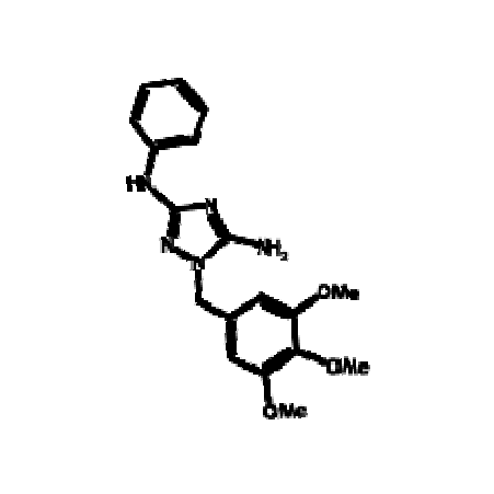 COc1cc(Cn2nc(Nc3ccccc3)nc2N)cc(OC)c1OC